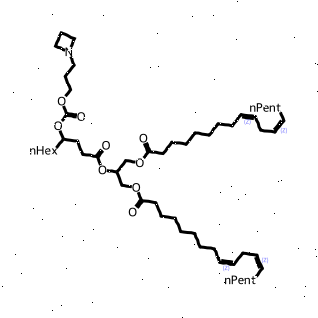 CCCCC/C=C\C/C=C\CCCCCCCC(=O)OCC(COC(=O)CCCCCCC/C=C\C/C=C\CCCCC)OC(=O)CCC(CCCCCC)OC(=O)OCCCN1CCC1